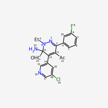 CCN1N=C(c2cccc(F)c2)C(C(C)=O)=C(c2cncc(Cl)c2)C1(N)C=O